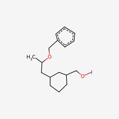 CC(CC1CCCC(COI)C1)OCc1ccccc1